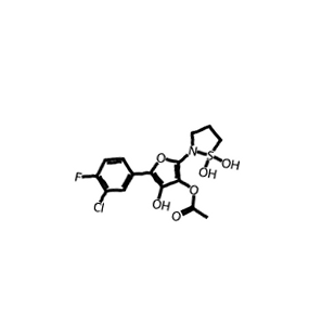 CC(=O)Oc1c(N2CCCS2(O)O)oc(-c2ccc(F)c(Cl)c2)c1O